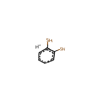 Sc1ccccc1S.[H+]